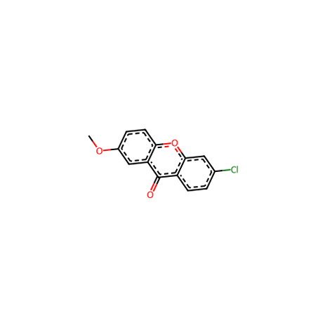 COc1ccc2oc3cc(Cl)ccc3c(=O)c2c1